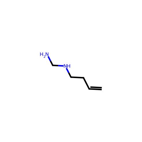 C=CCCNCN